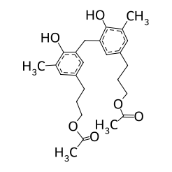 CC(=O)OCCCc1cc(C)c(O)c(Cc2cc(CCCOC(C)=O)cc(C)c2O)c1